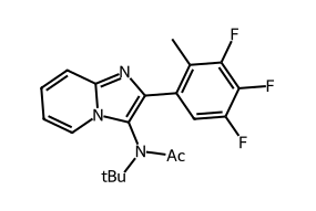 CC(=O)N(c1c(-c2cc(F)c(F)c(F)c2C)nc2ccccn12)C(C)(C)C